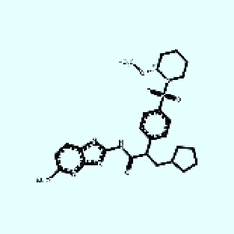 COc1ccc2nc(NC(=O)C(CC3CCCC3)c3ccc(S(=O)(=O)N4CCCC[C@H]4OC(=O)O)cc3)sc2n1